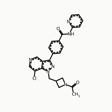 CC(=O)N1CC(Cn2nc(-c3ccc(C(=O)Nc4ccccn4)cc3)c3cncc(Cl)c32)C1